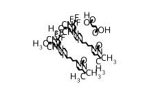 CC(C)c1ccn(CCCCN2CCN(c3cc(C(F)(F)F)nc(C(C)(C)C)n3)CC2)c(=O)n1.CC(C)c1ccn(CCCCN2CCN(c3cc(C(F)(F)F)nc(C(C)(C)C)n3)CC2)c(=O)n1.O=C(O)C=CC(=O)O